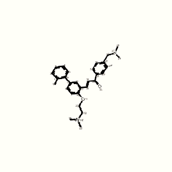 Cc1ccccc1-c1ccc(OCCN(C)C)c(C=CC(=O)c2ccc(CN(C)C)cc2)c1